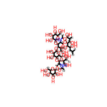 CC(=O)NC1C(OC(C(O)C(C)CO)C(O)C(O)CC(C)C)OC(CO)C(OC2OC(CO)C(OC(OC(CO)[C@@H](C)O)[C@H](COC3OC(CO)C(O)C(O)C3O)NC(C)=O)C(O)C2O)C1OC1OC(CO)C(O)C(O)C1O